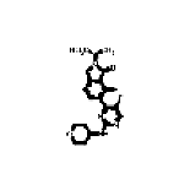 C[C@H](C(=O)O)N1Cc2ccc(-c3nc(NC4CCOCC4)ncc3F)c(F)c2C1=O